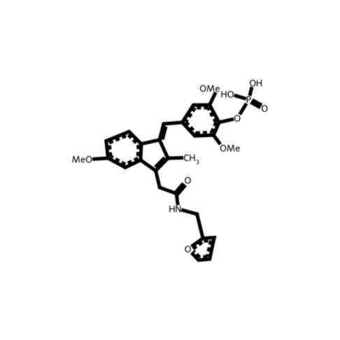 COc1ccc2c(c1)C(CC(=O)NCc1ccco1)=C(C)C2=Cc1cc(OC)c(OP(=O)(O)O)c(OC)c1